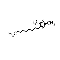 CCCCCCCCCc1pc(C)sc1C